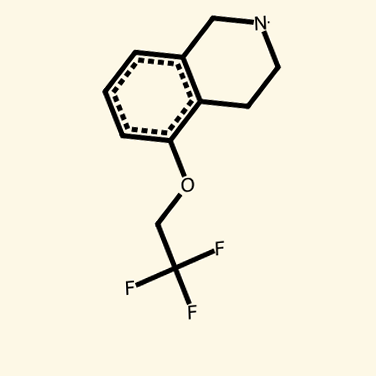 FC(F)(F)COc1cccc2c1CC[N]C2